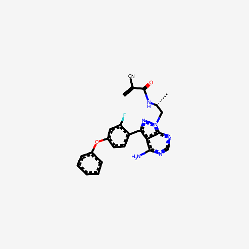 C=C(C#N)C(=O)N[C@H](C)Cn1nc(-c2ccc(Oc3ccccc3)cc2F)c2c(N)ncnc21